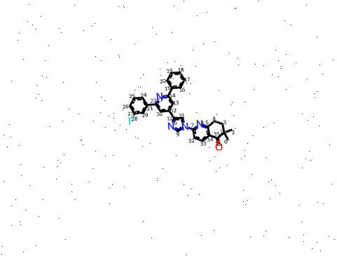 CC1(C)CCc2nc(-n3cnc(-c4cc(-c5ccccc5)nc(-c5cccc(F)c5)c4)c3)ccc2C1=O